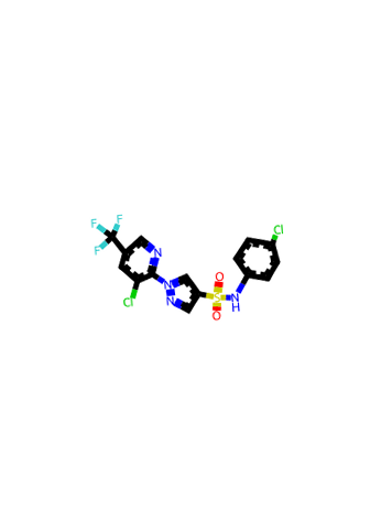 O=S(=O)(Nc1ccc(Cl)cc1)c1cnn(-c2ncc(C(F)(F)F)cc2Cl)c1